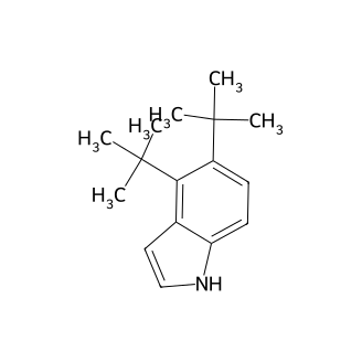 CC(C)(C)c1ccc2[nH]ccc2c1C(C)(C)C